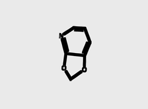 [CH]1Oc2cccnc2O1